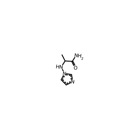 CC(Nn1ccnc1)C(N)=O